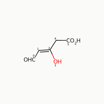 O=CC=C(O)CC(=O)O